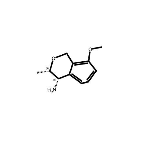 COc1cccc2c1CO[C@@H](C)[C@H]2N